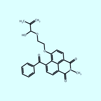 C=C(C)C(O)OCCOc1ccc2c3c(ccc(C(=O)c4ccccc4)c13)C(=O)N(C)C2=O